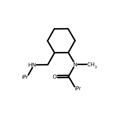 CC(C)NCC1CCCCC1N(C)C(=O)C(C)C